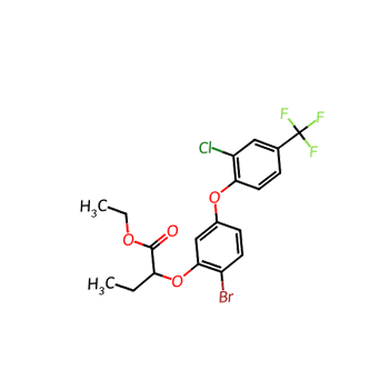 CCOC(=O)C(CC)Oc1cc(Oc2ccc(C(F)(F)F)cc2Cl)ccc1Br